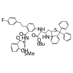 CSCC[C@H](NC(=O)c1cc(NC(C(=O)OC(C)(C)C)C2CC(SC(c3ccccc3)(c3ccccc3)c3ccccc3)CN2)ccc1CCc1ccc(F)cc1)C(=O)c1ccccc1O